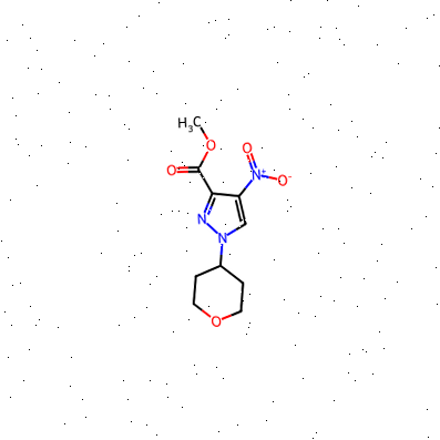 COC(=O)c1nn(C2CCOCC2)cc1[N+](=O)[O-]